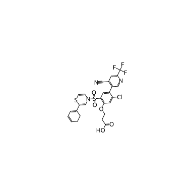 N#Cc1cc(C(F)(F)F)ncc1-c1cc(S(=O)(=O)N2C=CSC(C3=CC=CCC3)=C2)c(OCCC(=O)O)cc1Cl